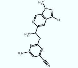 CC(Sc1nc(N)cc(C#N)n1)c1cc2c(Cl)cn(C)c2cn1